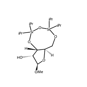 CO[C@@H]1O[C@@H]2CO[Si](C(C)C)(C(C)C)O[Si](C(C)C)(C(C)C)O[C@H]2[C@H]1O